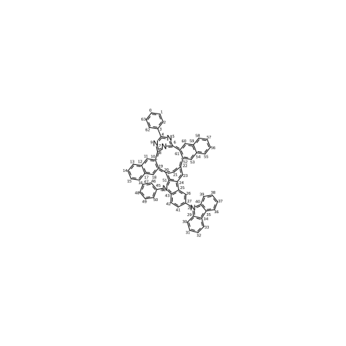 c1ccc(-c2nc3nc(n2)c2cc4ccccc4cc2c2cc(cc4c5cc(-n6c7ccccc7c7ccccc76)ccc5n(-c5ccccc5)c24)c2cc4ccccc4cc32)cc1